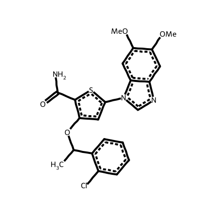 COc1cc2ncn(-c3cc(OC(C)c4ccccc4Cl)c(C(N)=O)s3)c2cc1OC